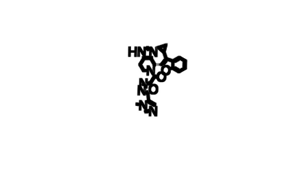 Cn1cncc1-c1nnc(C(=O)N2CCc3[nH]cnc3[C@@H]2c2oc3ccccc3c2C2CC2)o1